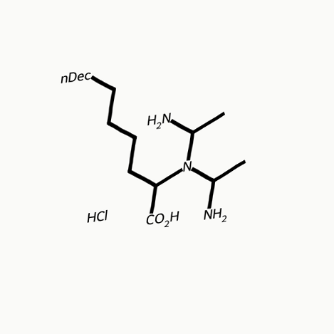 CCCCCCCCCCCCCCC(C(=O)O)N(C(C)N)C(C)N.Cl